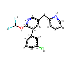 FC(F)Oc1ncc(Cc2ccccn2)cc1-c1cccc(Cl)c1